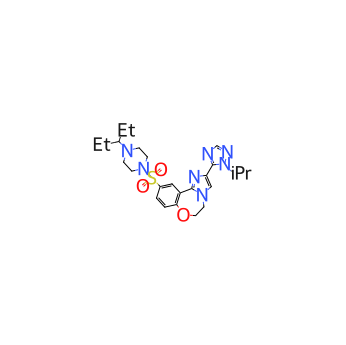 CCC(CC)N1CCN(S(=O)(=O)c2ccc3c(c2)-c2nc(-c4ncnn4C(C)C)cn2CCO3)CC1